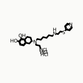 CCCN(CCCCCCNCCSc1ccncc1)[C@H]1CCc2c(ccc(O)c2O)C1.Cl.Cl.Cl